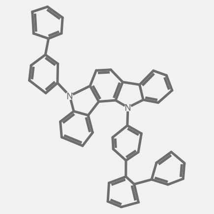 c1ccc(-c2cccc(-n3c4ccccc4c4c3ccc3c5ccccc5n(-c5ccc(-c6ccccc6-c6ccccc6)cc5)c34)c2)cc1